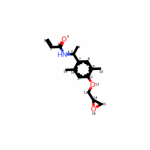 C=CC(=O)NC(C)c1cc(C)c(OCC2CO2)cc1C